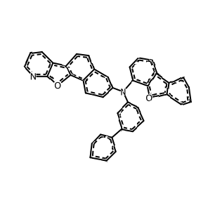 c1ccc(-c2cccc(N(c3ccc4c(ccc5c6cccnc6oc45)c3)c3cccc4c3oc3ccccc34)c2)cc1